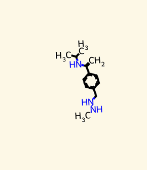 C=C(NC(C)C)c1ccc(CNNC)cc1